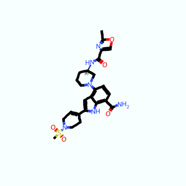 Cc1nc(C(=O)N[C@@H]2CCCN(c3ccc(C(N)=O)c4[nH]c(C5=CCN(S(C)(=O)=O)CC5)cc34)C2)co1